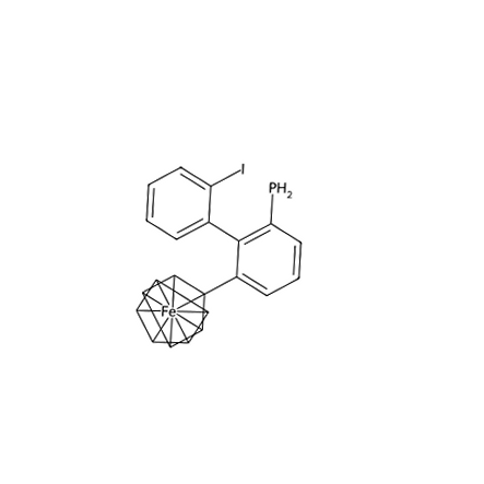 Pc1cccc([C]23[CH]4[CH]5[CH]6[CH]2[Fe]56432789[CH]3[CH]2[CH]7[CH]8[CH]39)c1-c1ccccc1I